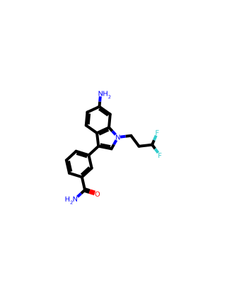 NC(=O)c1cccc(-c2cn(CCC(F)F)c3cc(N)ccc23)c1